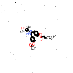 CCC(=O)Oc1ccc(-c2[nH]c(-c3cc(C(C)(C)C)c(O)c(C(C)(C)C)c3)nc2-c2ccc(OC(=O)CCC(=O)O)cc2)cc1